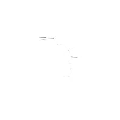 C#CCCCC(C)(CC)C(=O)NCC(C)O